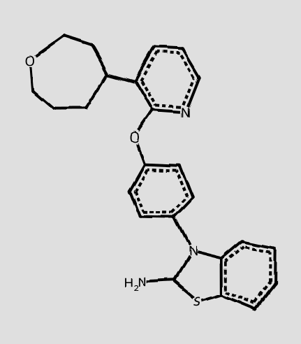 NC1Sc2ccccc2N1c1ccc(Oc2ncccc2C2CCCOCC2)cc1